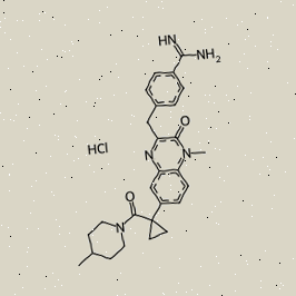 CC1CCN(C(=O)C2(c3ccc4c(c3)nc(Cc3ccc(C(=N)N)cc3)c(=O)n4C)CC2)CC1.Cl